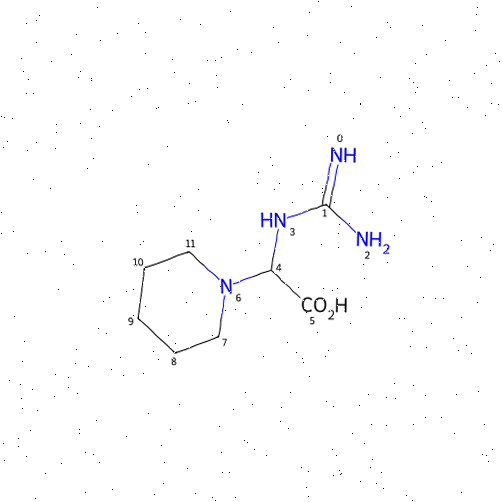 N=C(N)NC(C(=O)O)N1CCCCC1